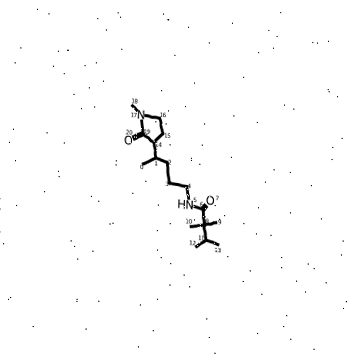 CC(CCCNC(=O)C(C)(C)C(C)C)C1CCN(C)C1=O